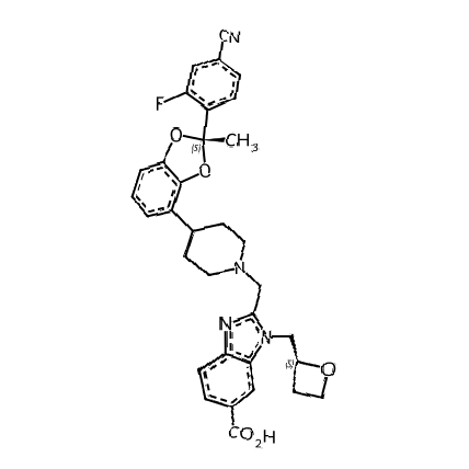 C[C@]1(c2ccc(C#N)cc2F)Oc2cccc(C3CCN(Cc4nc5ccc(C(=O)O)cc5n4C[C@@H]4CCO4)CC3)c2O1